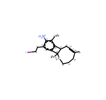 CCCc1c(N)c(CCI)cc2c1C1C/C=C(/C)CCCCC21C(C)C